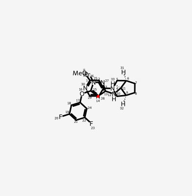 COc1cc(N2C[C@H]3CC[C@@H](C2)[C@H]3Nc2nc(Oc3cc(F)cc(F)c3)n(C(C)C)n2)ccn1